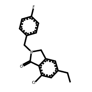 CCc1cc(Cl)c2c(c1)CN(Cc1ccc(F)cc1)C2=O